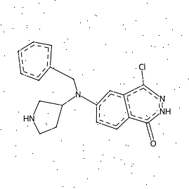 O=c1[nH]nc(Cl)c2cc(N(Cc3ccccc3)C3CCNC3)ccc12